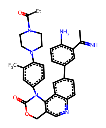 CCC(=O)N1CCN(c2ccc(N3C(=O)OCc4cnc5ccc(-c6ccc(N)c(C(C)=N)c6)cc5c43)cc2C(F)(F)F)CC1